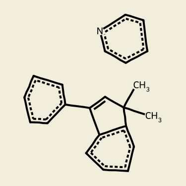 CC1(C)C=C(c2ccccc2)c2ccccc21.c1ccncc1